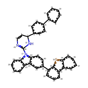 C1=CC(c2ccc(-c3ccccc3)cc2)NC(n2c3ccccc3c3cc(-c4cccc5c4sc4ccccc45)ccc32)=N1